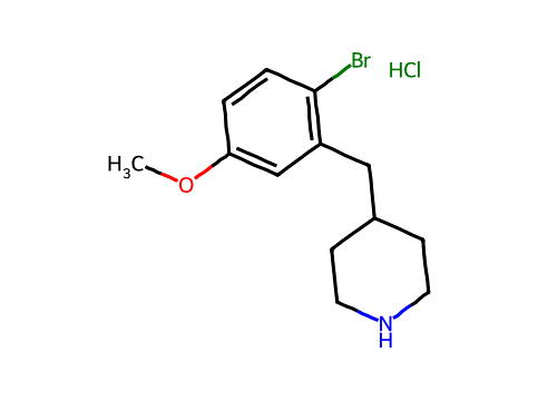 COc1ccc(Br)c(CC2CCNCC2)c1.Cl